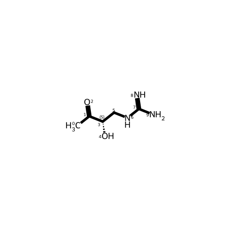 CC(=O)[C@@H](O)CNC(=N)N